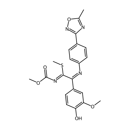 COC(=O)N=C(SC)C(=Nc1ccc(-c2noc(C)n2)cc1)c1ccc(O)c(OC)c1